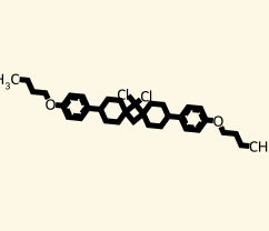 CCCCOc1ccc(C2CCC3(CC2)CC2(CCC(c4ccc(OCCCC)cc4)CC2)C3(Cl)Cl)cc1